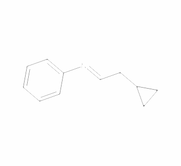 C(CC1CC1)=Nc1ccccc1